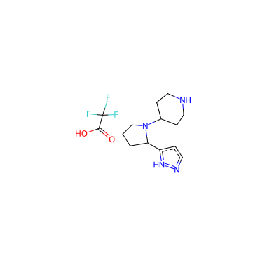 O=C(O)C(F)(F)F.c1cc(C2CCCN2C2CCNCC2)[nH]n1